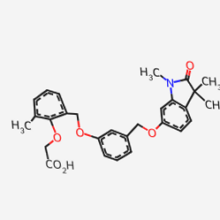 Cc1cccc(COc2cccc(COc3ccc4c(c3)N(C)C(=O)C4(C)C)c2)c1OCC(=O)O